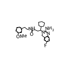 COc1cccc(CCNC(=O)CCC(C2CCCCC2)N2Cc3cc(F)ccc3N=C2N)c1